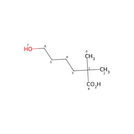 CC(C)(CCCCO)C(=O)O